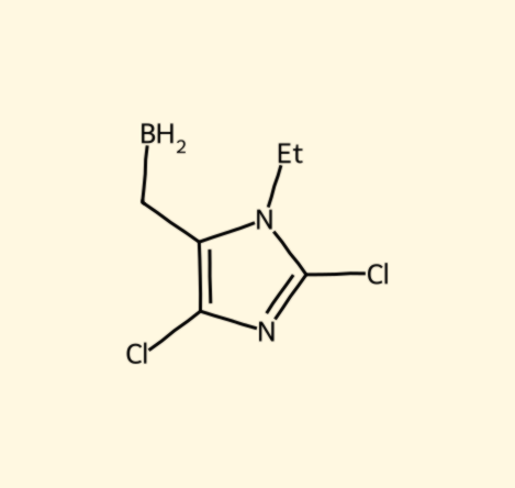 BCc1c(Cl)nc(Cl)n1CC